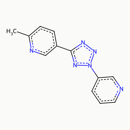 Cc1ccc(-c2nnn(-c3cccnc3)n2)cn1